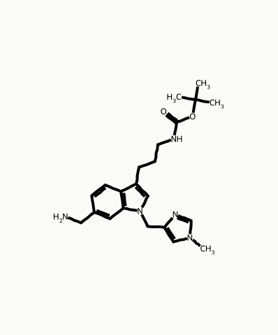 Cn1cnc(Cn2cc(CCCNC(=O)OC(C)(C)C)c3ccc(CN)cc32)c1